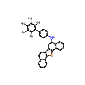 [2H]c1c([2H])c([2H])c(-c2ccc(Nc3cc4c5ccc6ccccc6c5sc4c4ccccc34)cc2)c([2H])c1[2H]